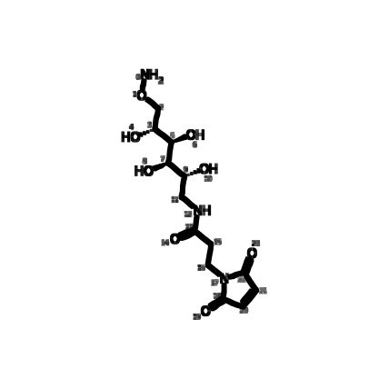 NOC[C@@H](O)[C@@H](O)[C@H](O)[C@H](O)CNC(=O)CCN1C(=O)C=CC1=O